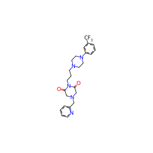 O=C1CN(Cc2ccccn2)CC(=O)N1CCCN1CCN(c2cccc(C(F)(F)F)c2)CC1